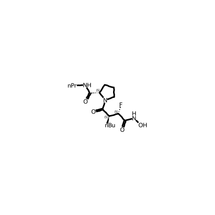 CCCC[C@@H](C(=O)N1CCC[C@H]1C(=O)NCCC)[C@H](F)C(=O)NO